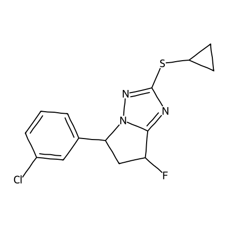 FC1CC(c2cccc(Cl)c2)n2nc(SC3CC3)nc21